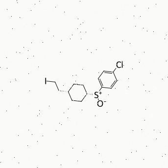 [O-][S+](c1ccc(Cl)cc1)[C@H]1CC[C@@H](CCI)CC1